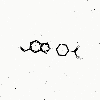 CC(=O)[C@H]1CC[C@H](n2cc3ccc(C=O)cc3n2)CC1